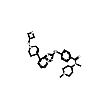 CN1CCC(N(C)C(=O)c2ccc(Nc3nc4c(C5=CCN(OC6COC6)CC5)cccn4n3)cc2)CC1